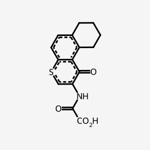 O=C(O)C(=O)Nc1csc2ccc3c(c2c1=O)CCCC3